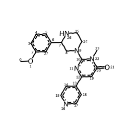 COc1cccc(C2CN(c3nc(-c4ccncc4)cc(=O)n3C)CCN2)c1